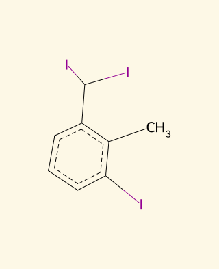 Cc1c(I)cccc1C(I)I